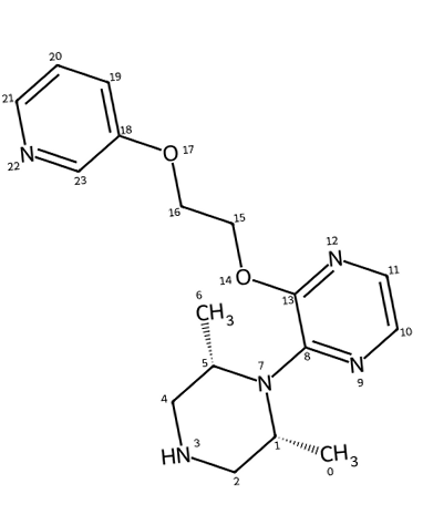 C[C@@H]1CNC[C@H](C)N1c1nccnc1OCCOc1cccnc1